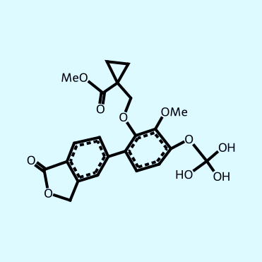 COC(=O)C1(COc2c(-c3ccc4c(c3)COC4=O)ccc(OC(O)(O)O)c2OC)CC1